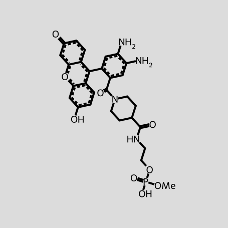 COP(=O)(O)OCCNC(=O)C1CCN(C(=O)c2cc(N)c(N)cc2-c2c3ccc(=O)cc-3oc3cc(O)ccc23)CC1